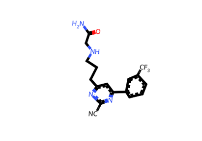 N#Cc1nc(CCCNCC(N)=O)cc(-c2cccc(C(F)(F)F)c2)n1